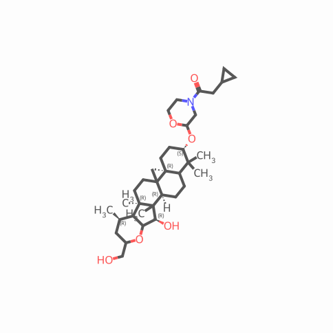 C[C@@H]1CC(CO)OC2C1[C@@]1(C)CCC34C[C@@]35CC[C@H](OC3CN(C(=O)CC6CC6)CCO3)C(C)(C)C5CC[C@H]4C1(C)[C@H]2O